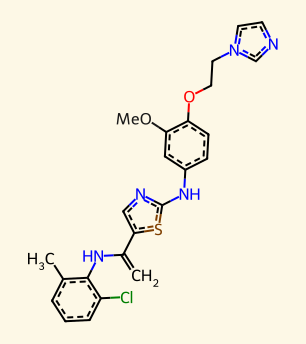 C=C(Nc1c(C)cccc1Cl)c1cnc(Nc2ccc(OCCn3ccnc3)c(OC)c2)s1